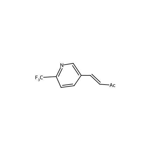 CC(=O)C=Cc1ccc(C(F)(F)F)nc1